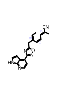 C\C=C(/C=C\C=C(/C)C#N)Cc1nc(-c2ccnc3[nH]ccc23)no1